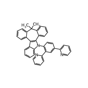 CC1(C)c2ccccc2-c2c(n(-c3ccc(-c4ccccn4)cc3-c3ccccn3)c3ccccc23)-c2ccccc21